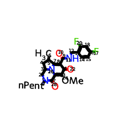 CCCCCN1CC2CC(C)c3c(C(=O)NCc4ccc(F)cc4F)c(=O)c(OC)c(n32)C1=O